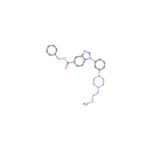 COCCN1CCN(c2cccc(-n3cnc4cc(C(=O)OCc5ccccc5)ccc43)c2)CC1